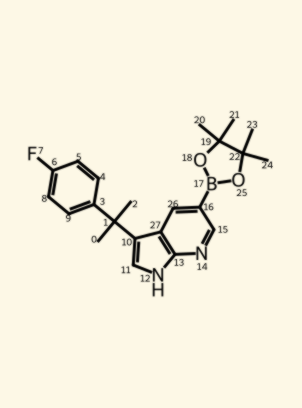 CC(C)(c1ccc(F)cc1)c1c[nH]c2ncc(B3OC(C)(C)C(C)(C)O3)cc12